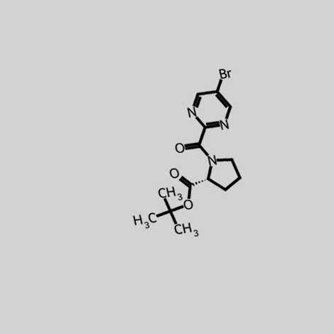 CC(C)(C)OC(=O)[C@H]1CCCN1C(=O)c1ncc(Br)cn1